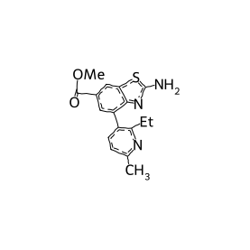 CCc1nc(C)ccc1-c1cc(C(=O)OC)cc2sc(N)nc12